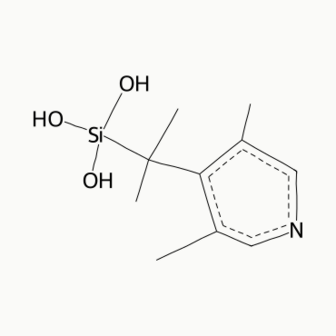 Cc1cncc(C)c1C(C)(C)[Si](O)(O)O